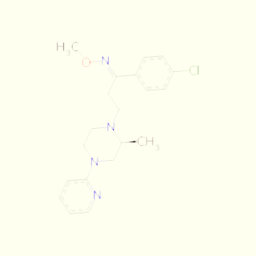 CO/N=C(\CCN1CCN(c2ccccn2)C[C@@H]1C)c1ccc(Cl)cc1